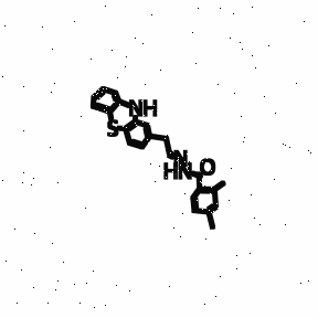 Cc1ccc(C(=O)NN=CCc2ccc3c(c2)Nc2ccccc2S3)c(C)c1